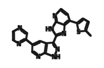 Cc1ccc(-c2ccnc3[nH]c(-c4n[nH]c5ncc(-c6cnccn6)cc45)nc23)s1